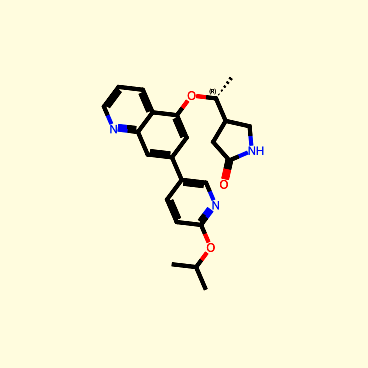 CC(C)Oc1ccc(-c2cc(O[C@H](C)C3CNC(=O)C3)c3cccnc3c2)cn1